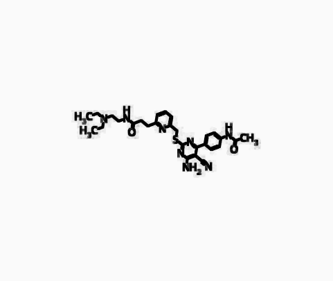 CCN(CC)CCNC(=O)CCc1cccc(CSc2nc(N)c(C#N)c(-c3ccc(NC(C)=O)cc3)n2)n1